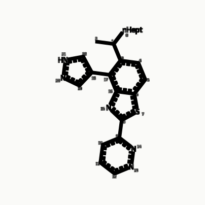 CCCCCCCC(C)c1ccc2sc(-c3cccnn3)nc2c1-c1cn[nH]c1